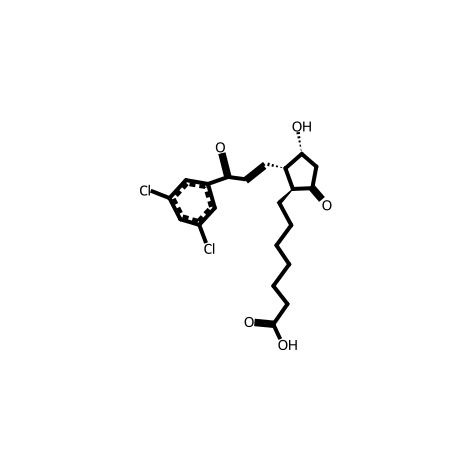 O=C(O)CCCCCC[C@@H]1C(=O)C[C@@H](O)[C@H]1C=CC(=O)c1cc(Cl)cc(Cl)c1